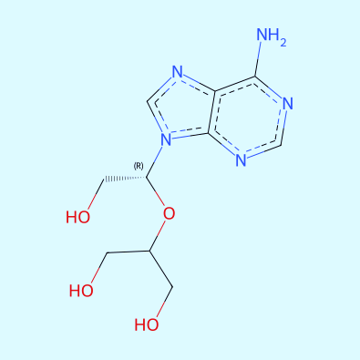 Nc1ncnc2c1ncn2[C@@H](CO)OC(CO)CO